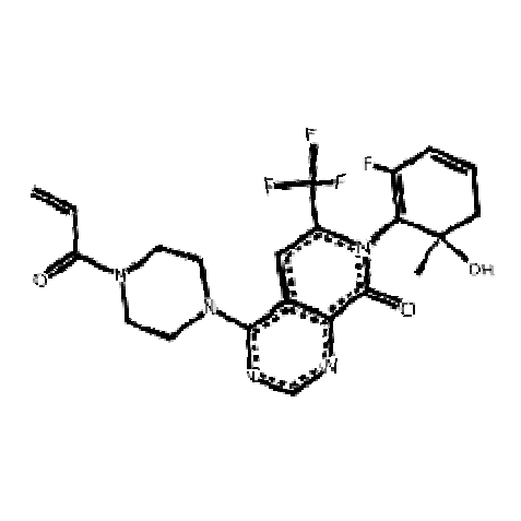 C=CC(=O)N1CCN(c2ncnc3c(=O)n(C4=C(F)C=CC[C@]4(C)O)c(C(F)(F)F)cc23)CC1